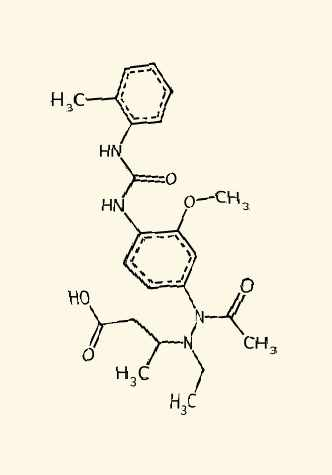 CCN(C(C)CC(=O)O)N(C(C)=O)c1ccc(NC(=O)Nc2ccccc2C)c(OC)c1